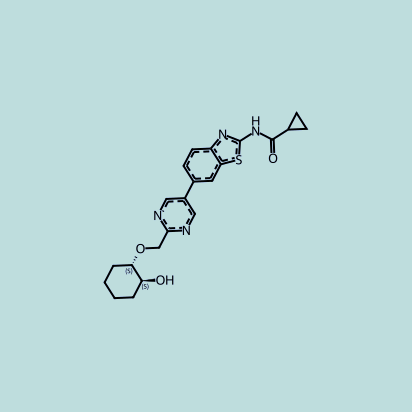 O=C(Nc1nc2ccc(-c3cnc(CO[C@H]4CCCC[C@@H]4O)nc3)cc2s1)C1CC1